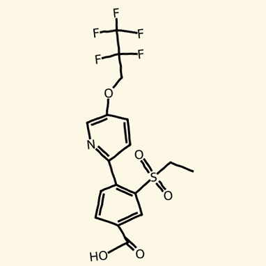 CCS(=O)(=O)c1cc(C(=O)O)ccc1-c1ccc(OCC(F)(F)C(F)(F)F)cn1